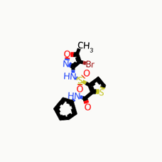 Cc1onc(NS(=O)(=O)c2ccsc2C(=O)Nc2ccccc2)c1Br